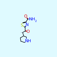 NC(=O)c1csc(C(=O)[CH]C2CCCNC2)n1